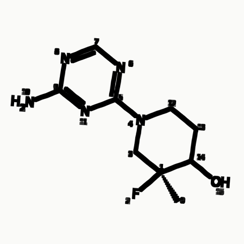 C[C@]1(F)CN(c2ncnc(N)n2)CCC1O